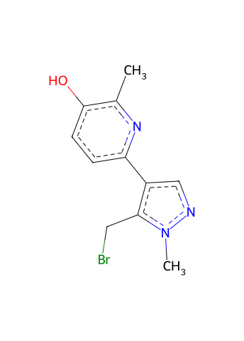 Cc1nc(-c2cnn(C)c2CBr)ccc1O